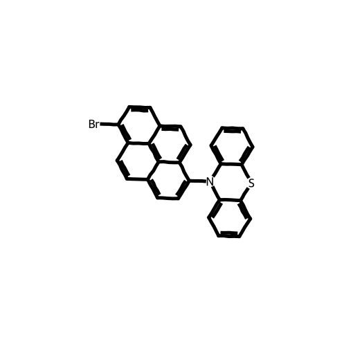 Brc1ccc2ccc3c(N4c5ccccc5Sc5ccccc54)ccc4ccc1c2c43